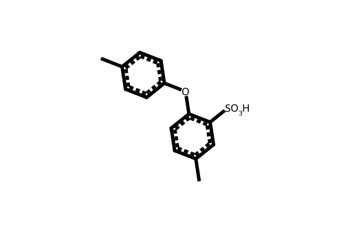 Cc1ccc(Oc2ccc(C)cc2S(=O)(=O)O)cc1